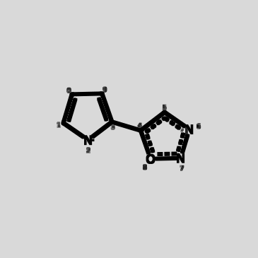 C1=C[N]C(c2cnno2)=C1